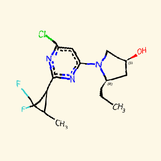 CC[C@@H]1C[C@H](O)CN1c1cc(Cl)nc(C2C(C)C2(F)F)n1